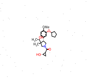 COc1ccc([C@@H]2CN(C(=O)C3C[C@@H]3O)CC2(C)[C@@H](C)O)cc1OC1CCCC1